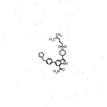 CN(C)CCCS(=O)(=O)N1CCC(c2c[nH]c3c(C(N)=O)cc(-c4ccc(CN5CCCC5)cc4)cc23)CC1